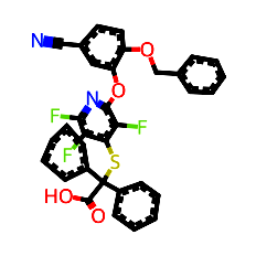 N#Cc1ccc(OCc2ccccc2)c(Oc2nc(F)c(F)c(SC(C(=O)O)(c3ccccc3)c3ccccc3)c2F)c1